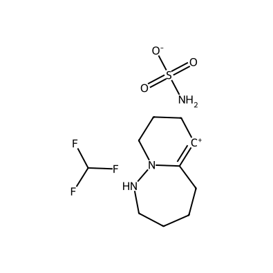 FC(F)F.NS(=O)(=O)[O-].[C+]1=C2CCCCNN2CCC1